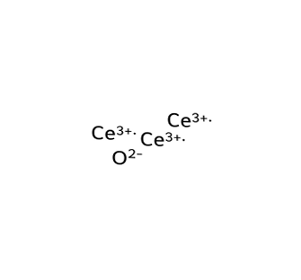 [Ce+3].[Ce+3].[Ce+3].[O-2]